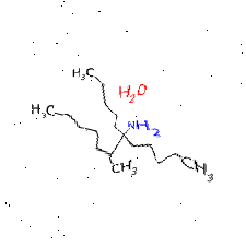 CCCCCC(C)C(N)(CCCCC)CCCCC.O